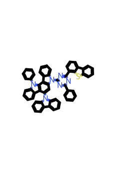 c1ccc(-c2nc(-c3cccc4c3sc3ccccc34)nc(-n3c4ccccc4c4c3cc(-n3c5ccccc5c5ccccc53)c3c5ccccc5n(-c5ccccc5)c34)n2)cc1